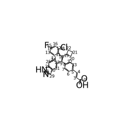 O=C(O)C=Cc1ccc(C(=C(c2ccc(F)cc2Cl)C2CCC2)c2ccc3[nH]ncc3c2)cc1